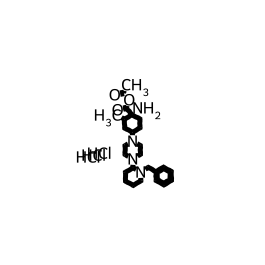 CC(=O)OC(=O)C1(N)CCC(N2CCN(C3CCCCN3Cc3ccccc3)CC2)CC1C.Cl.Cl.Cl